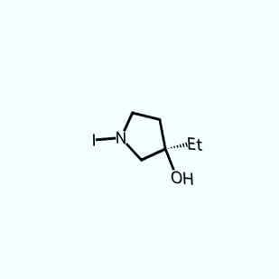 CC[C@@]1(O)CCN(I)C1